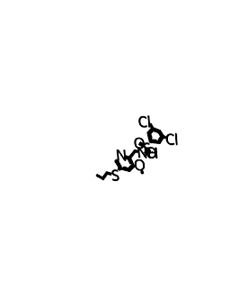 CCCSc1cnc(CNS(=O)(=O)c2cc(Cl)cc(Cl)c2)c(OC)c1